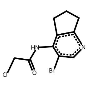 O=C(CCl)Nc1c(Br)cnc2c1CCC2